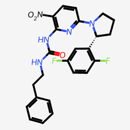 O=C(NCCc1ccccc1)Nc1nc(N2CCC[C@@H]2c2cc(F)ccc2F)ccc1[N+](=O)[O-]